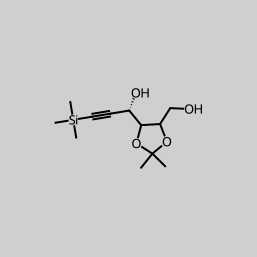 CC1(C)OC(CO)C([C@@H](O)C#C[Si](C)(C)C)O1